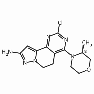 C[C@H]1COCCN1c1nc(Cl)nc2c1CCn1nc(N)cc1-2